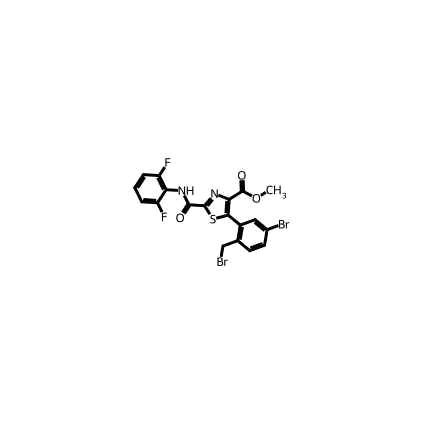 COC(=O)c1nc(C(=O)Nc2c(F)cccc2F)sc1-c1cc(Br)ccc1CBr